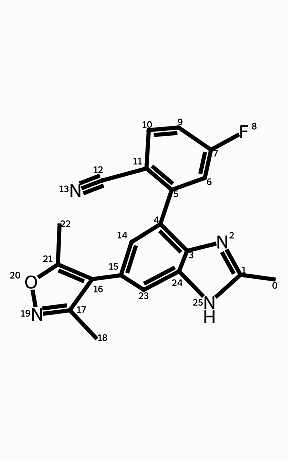 Cc1nc2c(-c3cc(F)ccc3C#N)cc(-c3c(C)noc3C)cc2[nH]1